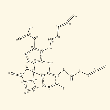 C=C=CCNCc1c(C)ccc2c1Cc1c(ccc(OC(C)=O)c1CNCC=C=C)C21OC(=O)c2ccccc21